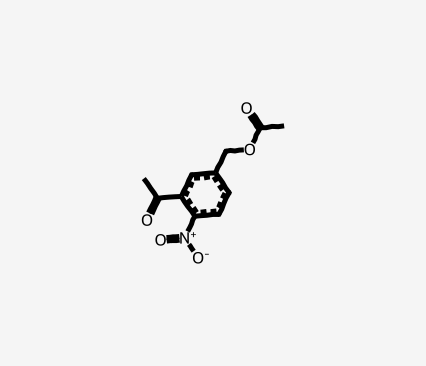 CC(=O)OCc1ccc([N+](=O)[O-])c(C(C)=O)c1